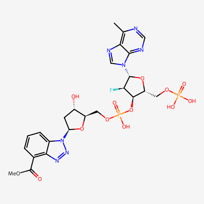 COC(=O)c1cccc2c1nnn2[C@H]1C[C@H](O)[C@@H](COP(=O)(O)O[C@H]2[C@@H](F)[C@H](n3cnc4c(C)ncnc43)O[C@@H]2COP(=O)(O)O)O1